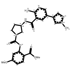 COC(=O)c1ccc(OC)cc1OC(=O)N1CC[C@@H](NC(=O)c2cc(-c3cnn(C)c3)cnc2N)C1